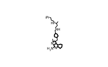 CC(C)CCCPC(C)CCNCc1ccc(Cc2c3c(nn2C)c(N)nc2ccccc23)cc1